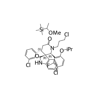 CC(C)Oc1ccc(F)c(F)c1[C@@H]1N(CCCCl)C(=O)C[C@@H](c2cccc(Cl)c2)[C@]12C(=O)Nc1cc(Cl)ccc12.COC(C)[Si](C)(C)C